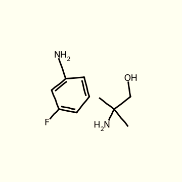 CC(C)(N)CO.Nc1cccc(F)c1